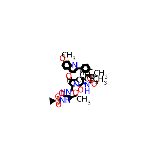 CCC1CC1(NC(=O)C1CC(Oc2cc(-c3ccccc3)nc3cc(OC)ccc23)CN1C(=O)C(NC(=O)OC(C)(C)C)C(C)(C)C)C(=O)NS(=O)(=O)C1CC1